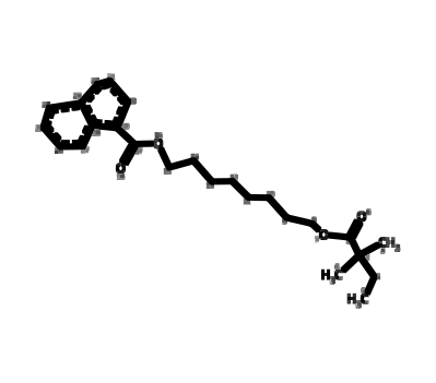 CCC(C)(C)C(=O)OCCCCCCCCOC(=O)c1cccc2ccccc12